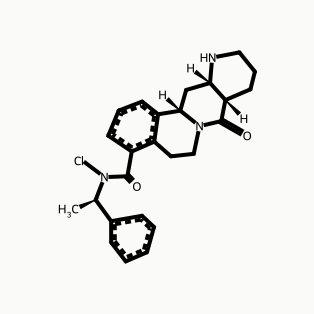 C[C@H](c1ccccc1)N(Cl)C(=O)c1cccc2c1CCN1C(=O)[C@H]3CCCN[C@H]3C[C@@H]21